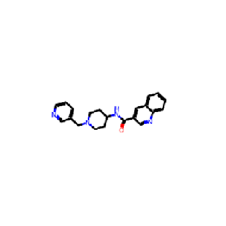 O=C(NC1CCN(Cc2cccnc2)CC1)c1cnc2ccccc2c1